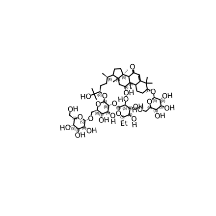 CC[C@@H]1O[C@H](O[C@H]2[C@H](O[C@H](CC[C@@H](C)C3CC[C@@]4(C)C5C(=O)C=C6C(CC[C@H](O[C@@H]7O[C@H](CO)[C@@H](O)[C@H](O)[C@H]7O)C6(C)C)[C@]5(C)[C@H](O)C[C@]34C)C(C)(C)O)O[C@H](CO[C@H]3O[C@H](CO)[C@@H](O)[C@H](O)[C@H]3O)[C@@H](O)[C@@H]2O)[C@@H](O)[C@H](O)[C@H]1O